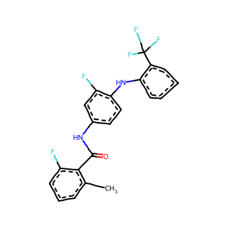 Cc1cccc(F)c1C(=O)Nc1ccc(Nc2ccccc2C(F)(F)F)c(F)c1